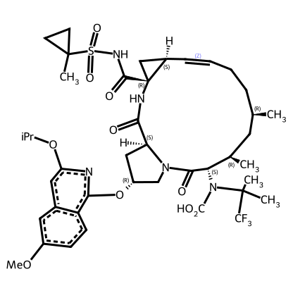 COc1ccc2c(O[C@@H]3C[C@H]4C(=O)N[C@]5(C(=O)NS(=O)(=O)C6(C)CC6)C[C@H]5/C=C\CC[C@@H](C)C[C@@H](C)[C@H](N(C(=O)O)C(C)(C)C(F)(F)F)C(=O)N4C3)nc(OC(C)C)cc2c1